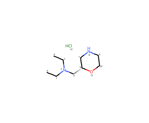 CCN(CC)C[C@@H]1CNCCO1.Cl